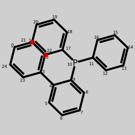 [c]1ccc(-c2ccccc2P(c2ccccc2)c2ccccc2)cc1